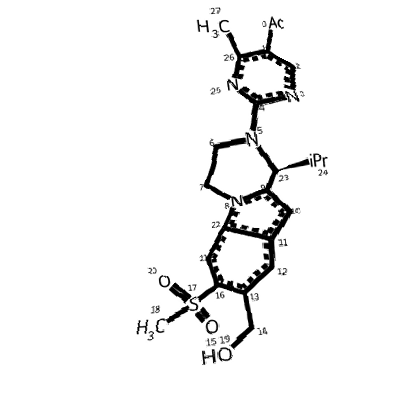 CC(=O)c1cnc(N2CCn3c(cc4cc(CO)c(S(C)(=O)=O)cc43)[C@@H]2C(C)C)nc1C